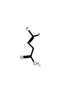 CC(=O)CC=C(F)F